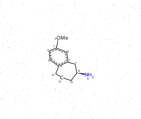 COc1ccc2c(c1)C[C@@H](N)CCC2